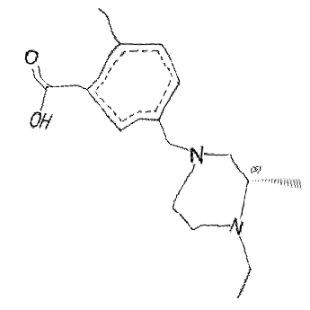 CCN1CCN(c2ccc(C)c(C(=O)O)c2)C[C@@H]1C